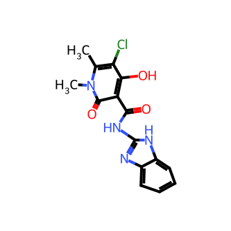 Cc1c(Cl)c(O)c(C(=O)Nc2nc3ccccc3[nH]2)c(=O)n1C